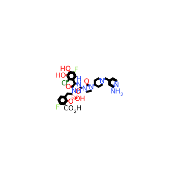 Nc1cc(CN2CCC(N3CCN(C(=O)NC(C(=O)NC4Cc5ccc(F)c(C(=O)O)c5OB4O)c4cc(F)c(O)c(O)c4Cl)C3=O)CC2)ccn1